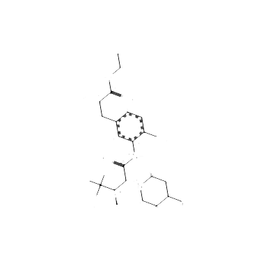 CCOC(=O)[C@@H](C)Cc1ccc(F)c(NC(=O)[C@@H]([C@@H](C)C(F)(F)F)N2CCC(C)CC2)c1